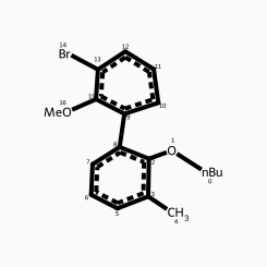 CCCCOc1c(C)cccc1-c1cccc(Br)c1OC